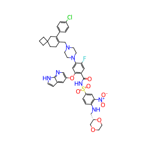 O=C(NS(=O)(=O)c1ccc(NC[C@H]2COCCO2)c([N+](=O)[O-])c1)c1cc(F)c(N2CCN(CC3=C(c4ccc(Cl)cc4)CC4(CCC4)CC3)CC2)cc1Oc1cnc2[nH]ccc2c1